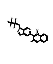 [O-][n+]1c(-c2cc3cnn(CC(F)(F)C(F)(F)F)c3cn2)c(F)cc2ccccc21